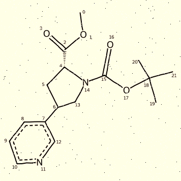 COC(=O)[C@H]1CC(c2cccnc2)CN1C(=O)OC(C)(C)C